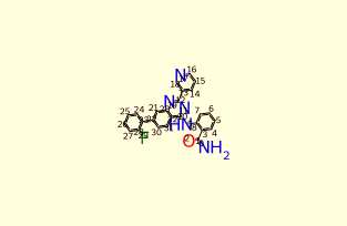 NC(=O)c1ccccc1Nc1nc(-c2cccnc2)nc2cc(-c3ccccc3F)ccc12